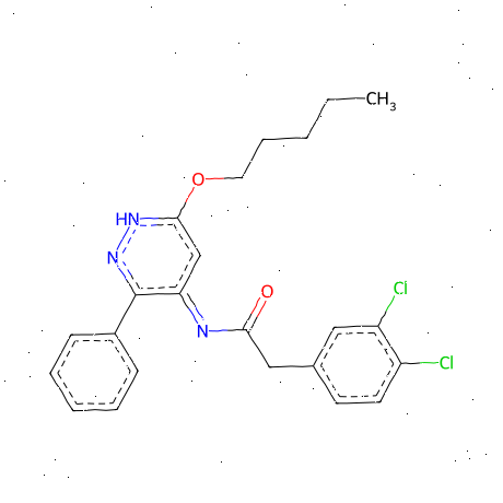 CCCCCOc1cc(=NC(=O)Cc2ccc(Cl)c(Cl)c2)c(-c2ccccc2)n[nH]1